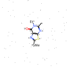 CCn1c(C)nc2sc(SC)nc2c1=O